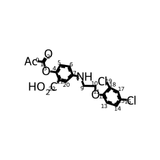 CC(=O)C(=O)Oc1ccc(NCCOc2ccc(Cl)cc2Cl)cc1C(=O)O